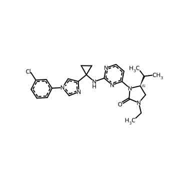 CCN1C[C@H](C(C)C)N(c2ccnc(NC3(c4cn(-c5cccc(Cl)c5)cn4)CC3)n2)C1=O